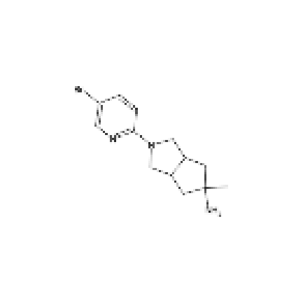 CC1(N)CC2CN(c3ccc(Br)cn3)CC2C1